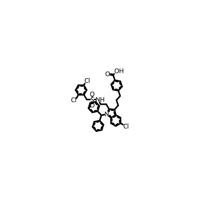 O=C(O)c1ccc(CCCc2c(CCNS(=O)(=O)Cc3cc(Cl)ccc3Cl)n(C(c3ccccc3)c3ccccc3)c3ccc(Cl)cc23)cc1